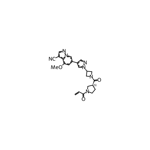 C=CC(=O)N1CC[C@H](C(=O)N2CC(n3cc(-c4cc(OC)c5c(C#N)cnn5c4)cn3)C2)C1